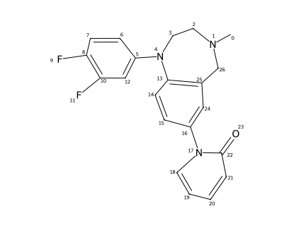 CN1CCN(c2ccc(F)c(F)c2)c2ccc(-n3ccccc3=O)cc2C1